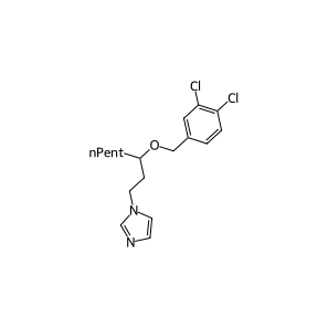 CCCCCC(CCn1ccnc1)OCc1ccc(Cl)c(Cl)c1